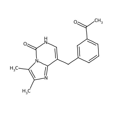 CC(=O)c1cccc(Cc2c[nH]c(=O)n3c(C)c(C)nc23)c1